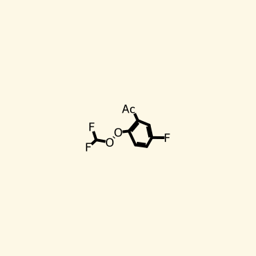 CC(=O)c1cc(F)ccc1OOC(F)F